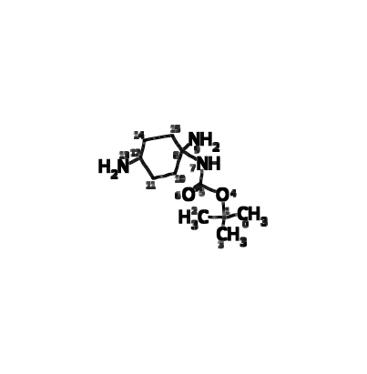 CC(C)(C)OC(=O)NC1(N)CCC(N)CC1